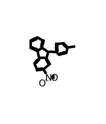 Cc1ccc(C2c3ccccc3-c3ccc([N+](=O)[O-])cc32)cc1